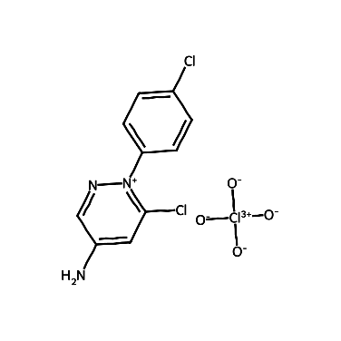 Nc1cn[n+](-c2ccc(Cl)cc2)c(Cl)c1.[O-][Cl+3]([O-])([O-])[O-]